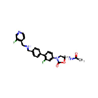 CC(=O)NC[C@H]1CN(c2ccc(-c3ccc(CNCc4ccncc4F)cc3)c(F)c2)C(=O)O1